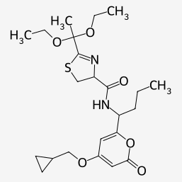 CCCC(NC(=O)C1CSC(C(C)(OCC)OCC)=N1)c1cc(OCC2CC2)cc(=O)o1